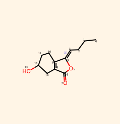 CCC/C=C1\OC(=O)C2=C1CCC(O)C2